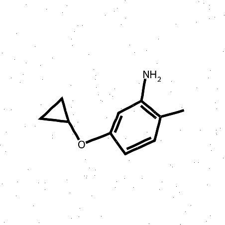 Cc1ccc(OC2CC2)cc1N